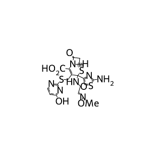 CON=CC(=O)NC1(c2csc(N)n2)S[C@H]2CC(=O)N2C(C(=O)O)=C1CSc1nccc(O)n1